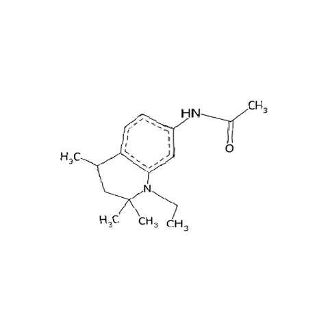 CCN1c2cc(NC(C)=O)ccc2C(C)CC1(C)C